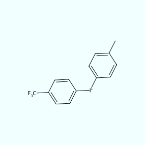 Cc1ccc([I+]c2ccc(C(F)(F)F)cc2)cc1